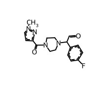 Cn1ccc(C(=O)N2CCN(C(C=O)c3ccc(F)cc3)CC2)n1